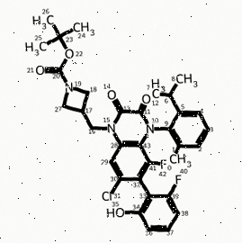 Cc1cccc(C(C)C)c1-n1c(=O)c(=O)n(CC2CN(C(=O)OC(C)(C)C)C2)c2cc(Cl)c(-c3c(O)cccc3F)c(F)c21